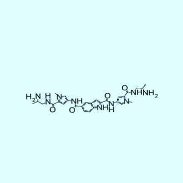 CC(N)CNC(=O)c1cc(NC(=O)c2ccc3[nH]c(C(=O)Nc4cc(C(=O)NCC(C)N)n(C)c4)cc3c2)cn1C